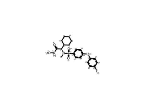 CN([C@@H](C(=O)NO)C1CCCCC1)S(=O)(=O)c1ccc(Oc2ccc(F)cc2)cc1